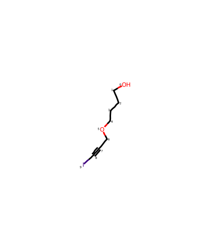 OCCCCOCC#CI